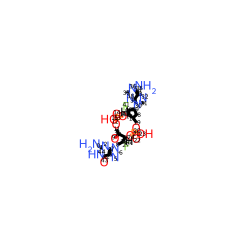 Nc1nc2c(ncn2C2OC3COP(=O)(O)O[C@@H]4C(COP(=O)(O)O[C@H]3[C@H]2F)CC(n2cnc3c(N)ncnc32)[C@@H]4F)c(=O)[nH]1